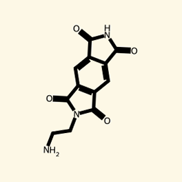 NCCn1c(=O)c2cc3c(=O)[nH]c(=O)c3cc2c1=O